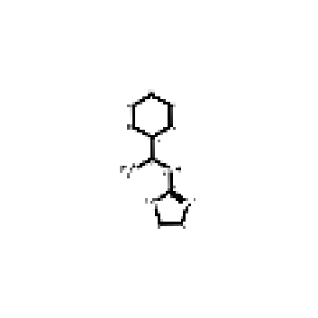 FC(F)(F)C(NC1=NCCS1)C1CCCCC1